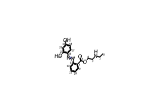 CCNCCOC(=O)c1ccccc1/N=N/c1ccc(O)cc1O